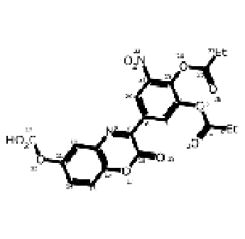 CCC(=O)Oc1cc(-c2nc3cc(OC(=O)O)ccc3oc2=O)cc([N+](=O)[O-])c1OC(=O)CC